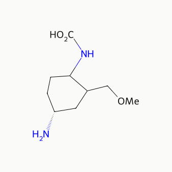 COCC1C[C@H](N)CCC1NC(=O)O